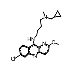 COc1ccc2nc3cc(Cl)ccc3c(NCCCCN(C)CC3CC3)c2n1